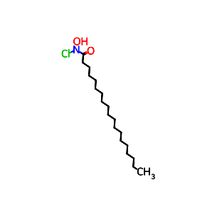 CCCCCCCCCCCCCCCCCCC(=O)N(O)Cl